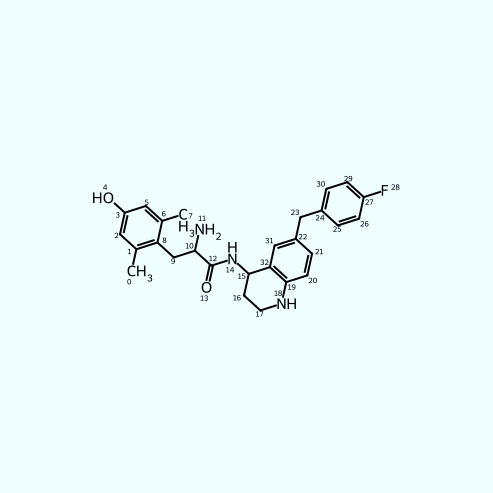 Cc1cc(O)cc(C)c1CC(N)C(=O)NC1CCNc2ccc(Cc3ccc(F)cc3)cc21